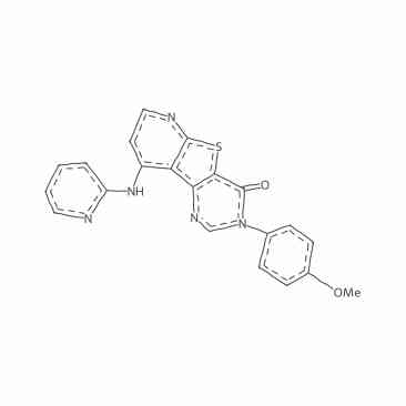 COc1ccc(-n2cnc3c(sc4nccc(Nc5ccccn5)c43)c2=O)cc1